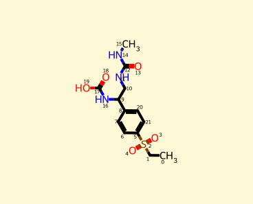 CCS(=O)(=O)c1ccc(C(CNC(=O)NC)NC(=O)O)cc1